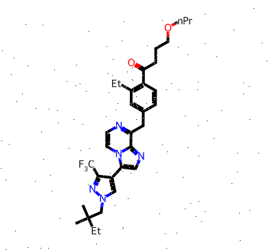 CCCOCCCC(=O)c1ccc(Cc2nccn3c(-c4cn(CC(C)(C)CC)nc4C(F)(F)F)cnc23)cc1CC